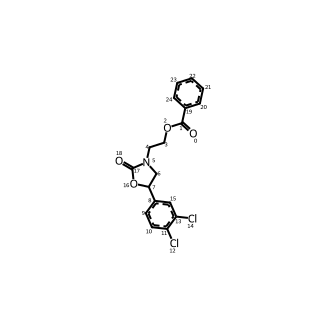 O=C(OCCN1CC(c2ccc(Cl)c(Cl)c2)OC1=O)c1ccccc1